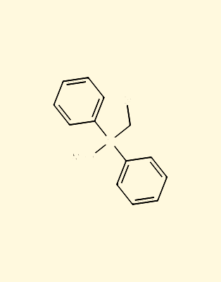 CO[Si](CBr)(c1ccccc1)c1ccccc1